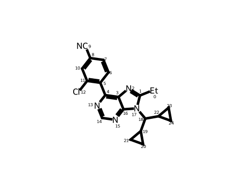 CCc1nc2c(-c3ccc(C#N)cc3Cl)ncnc2n1C(C1CC1)C1CC1